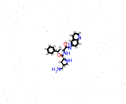 NC[C@@H]1CN[C@H](C(=O)N[C@H](CCc2ccccc2)C(=O)Nc2ccc3ncccc3c2)C1